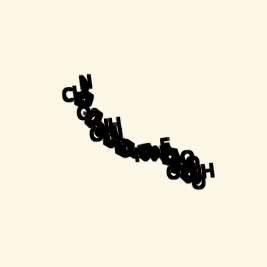 N#Cc1ccc(O[C@H]2CC[C@H](NC(=O)c3ccc(N4CCC(CN5CCC6(C5)CN(c5cc7c(cc5F)C(=O)N(C5CCC(=O)NC5=O)C7=O)C6)CC4)nn3)CC2)cc1Cl